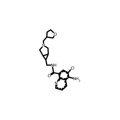 Nc1c(Cl)cc(C(=O)NCC2C3CN(CC4CCOC4)CC23)c2ncccc12